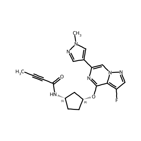 CC#CC(=O)N[C@H]1CC[C@@H](Oc2nc(-c3cnn(C)c3)cn3ncc(F)c23)C1